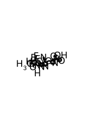 Cn1cc(C(F)(F)F)cc(Nc2nc3ncc(Oc4ccnc(N(C(=O)O)C5COC5)c4)c(C#N)c3n2C)c1=O